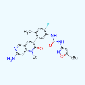 CCn1c(=O)c(-c2cc(NC(=O)Nc3cc(C(C)(C)C)on3)c(F)cc2C)cc2cnc(N)cc21